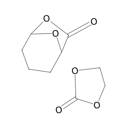 O=C1OC2CCCC1O2.O=C1OCCO1